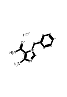 Cl.NC(=O)c1c(N)ncn1Cc1ccccc1